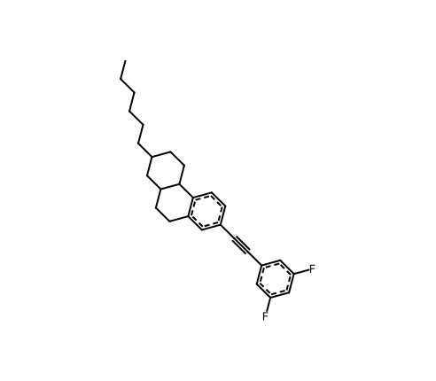 CCCCCCC1CCC2c3ccc(C#Cc4cc(F)cc(F)c4)cc3CCC2C1